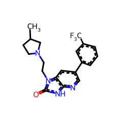 CC1CCN(CCn2c(=O)[nH]c3ncc(-c4cccc(C(F)(F)F)c4)cc32)C1